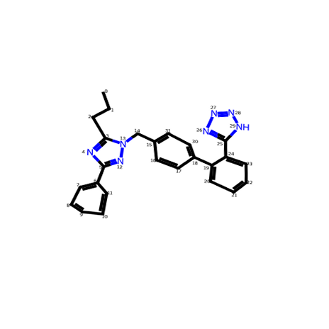 CCCc1nc(-c2ccccc2)nn1Cc1ccc(-c2ccccc2-c2nnn[nH]2)cc1